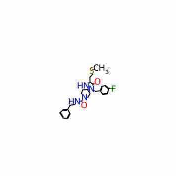 CSCCC1NC2(CCN(C(=O)NCCc3ccccc3)CC2)N(Cc2ccc(F)cc2)C1=O